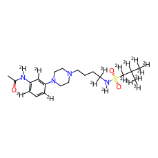 [2H]c1cc([2H])c(N([2H])C(C)=O)c([2H])c1N1CCN(CCCC([2H])([2H])N([2H])S(=O)(=O)C([2H])([2H])C([2H])(C([2H])([2H])[2H])C([2H])([2H])[2H])CC1